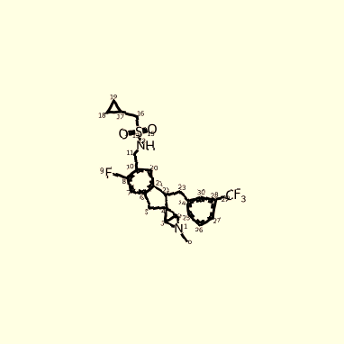 CN1C2C1C21Cc2cc(F)c(CNS(=O)(=O)CC3CC3)cc2C1Cc1cccc(C(F)(F)F)c1